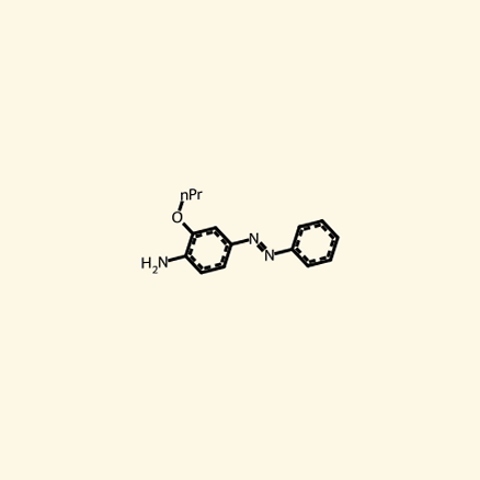 CCCOc1cc(N=Nc2ccccc2)ccc1N